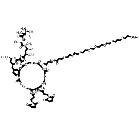 CC[C@H](C)[C@H](NC(=O)C(C)(C)N(C)C)C(=O)N(C)[C@H](C[C@@H](OC(C)=O)c1nc(C(=O)N[C@@H](Cc2ccc3c(c2)NC(=O)CCCNC(=O)[C@H](CCCCNC(=O)CCOCCOCCOCCOCCOCCOCCOCCCOCCOC)NC(=O)CCCNC(=O)[C@H](NC(=O)CCN2C(=O)C=CC2=O)[C@H](NC(=O)CCN2C(=O)C=CC2=O)C(=O)NCCCC(=O)O3)C[C@H](C)C(=O)O)cs1)C(C)C